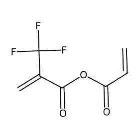 C=CC(=O)OC(=O)C(=C)C(F)(F)F